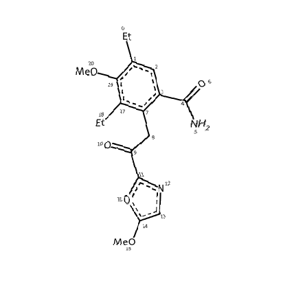 CCc1cc(C(N)=O)c(CC(=O)c2ncc(OC)o2)c(CC)c1OC